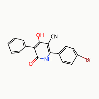 N#Cc1c(-c2ccc(Br)cc2)[nH]c(=O)c(-c2ccccc2)c1O